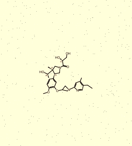 CCc1cnc(N2CC(Oc3cc([C@@H]4CN(C(=O)[C@@H](O)CO)C[C@@]4(C)[C@@H](C)O)ccc3OC)C2)cc1C